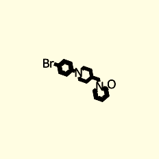 O=c1ccccn1CC1CCN(c2ccc(Br)cc2)CC1